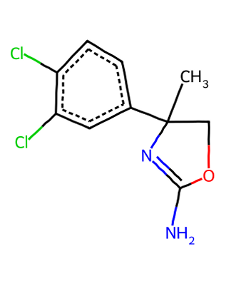 CC1(c2ccc(Cl)c(Cl)c2)COC(N)=N1